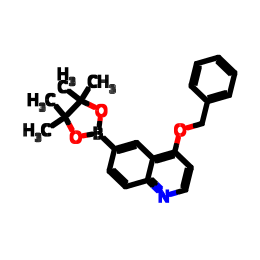 CC1(C)OB(c2ccc3nccc(OCc4ccccc4)c3c2)OC1(C)C